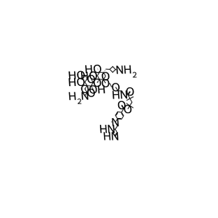 CN(CC(=N)C=N)c1ccc(C(=O)OC(C)(C)CC(C)(C)C(=O)NCCOCCOC2O[C@@H](CC3CC(N)C3)[C@@H](O)[C@H](O)[C@@H]2O[C@H]2O[C@H](CO)[C@@H](O)[C@H](OC(N)=O)[C@@H]2O)cc1